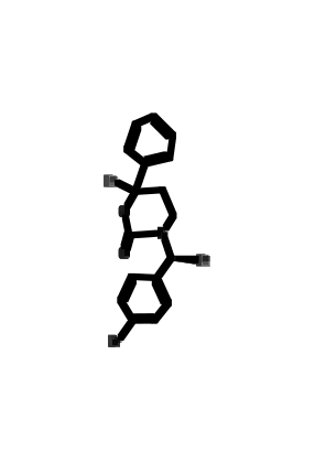 CC[C@@H](c1ccc(Br)cc1)N1CCC(CC)(c2ccccc2)OC1=O